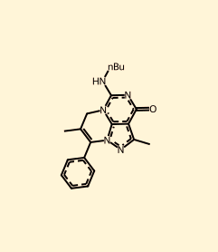 CCCCNc1nc(=O)c2c(C)nn3c2n1CC(C)=C3c1ccccc1